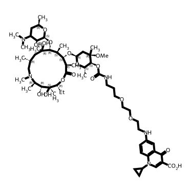 CC[C@H]1OC(=O)[C@H](C)[C@@H](O[C@H]2C[C@@](C)(OC)[C@@H](OC(=O)NCCCOCCOCCNc3ccc4c(c3)c(=O)c(C(=O)O)cn4C3CC3)[C@H](C)O2)[C@H](C)[C@@H](O[C@@H]2O[C@H](C)CC(N(C)C)[C@H]2O)[C@](C)(O)C[C@@H](C)CN(C)[C@H](C)[C@@H](O)[C@]1(C)O